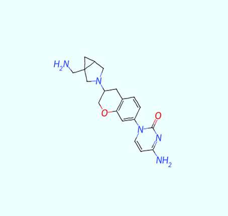 NCC12CC1CN(C1COc3cc(-n4ccc(N)nc4=O)ccc3C1)C2